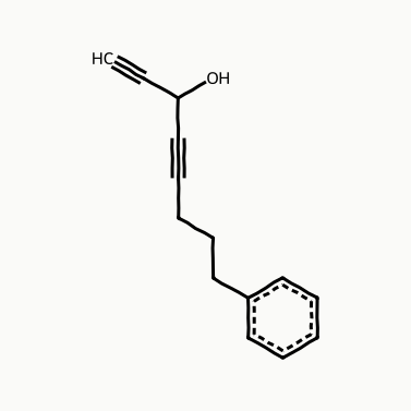 C#CC(O)C#CCCCc1ccccc1